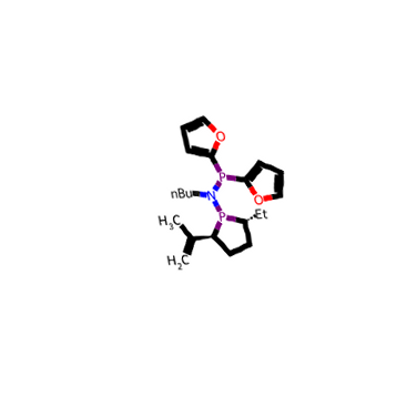 C=C(C)[C@@H]1CC[C@@H](CC)P1N(CCCC)P(c1ccco1)c1ccco1